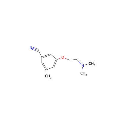 Cc1cc(C#N)cc(OCCN(C)C)c1